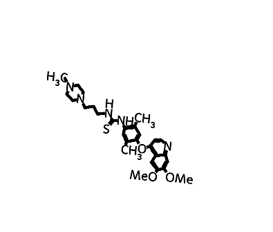 COc1cc2nccc(Oc3cc(C)c(NC(=S)NCCCN4CCN(C)CC4)cc3C)c2cc1OC